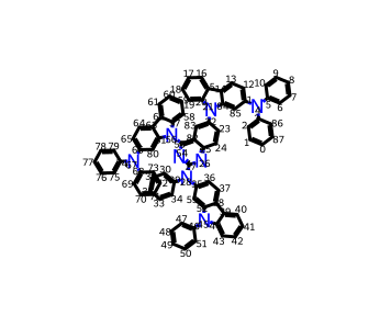 c1ccc(N(c2ccccc2)c2ccc3c4ccccc4n(-c4ccc5nc(N(c6ccccc6)c6ccc7c8ccccc8n(-c8ccccc8)c7c6)nc(-n6c7ccccc7c7ccc(N(c8ccccc8)c8ccccc8)cc76)c5c4)c3c2)cc1